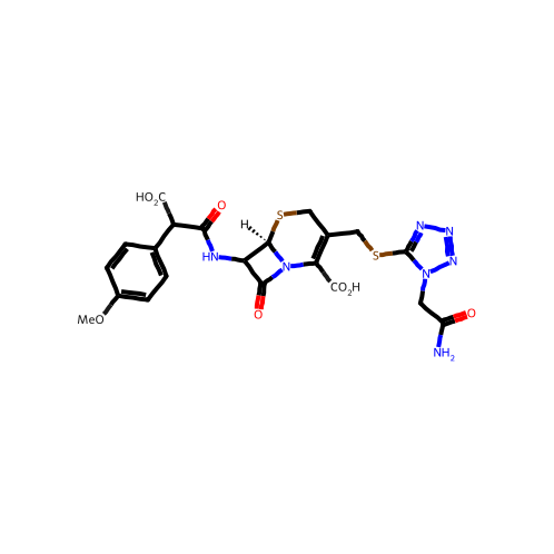 COc1ccc(C(C(=O)O)C(=O)NC2C(=O)N3C(C(=O)O)=C(CSc4nnnn4CC(N)=O)CS[C@H]23)cc1